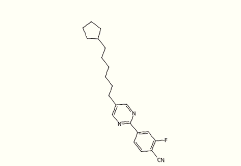 N#Cc1ccc(-c2ncc(CCCCCCC3CCCC3)cn2)cc1F